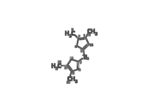 CC1=C(C)C[C]([Ti][C]2=CC(C)=C(C)C2)=C1